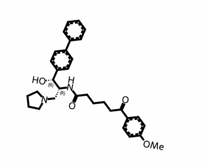 COc1ccc(C(=O)CCCCC(=O)N[C@H](CN2CCCC2)[C@H](O)c2ccc(-c3ccccc3)cc2)cc1